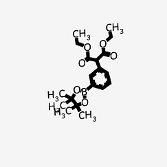 CCOC(=O)C(C(=O)OCC)c1cccc(B2OC(C)(C)C(C)(C)O2)c1